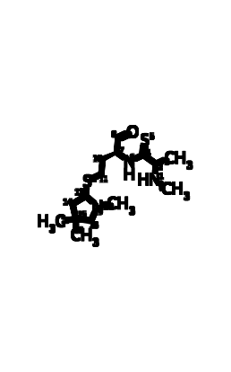 CNC(C)C(=S)N[C@H](C=O)CCSC1CC(C)(C)CN1C